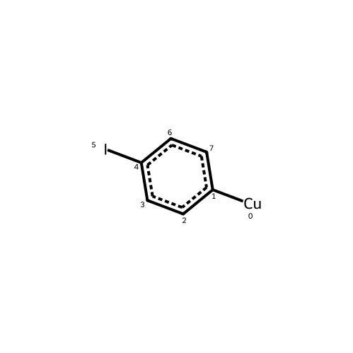 [Cu][c]1ccc(I)cc1